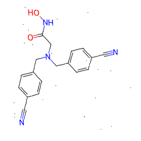 N#Cc1ccc(CN(CC(=O)NO)Cc2ccc(C#N)cc2)cc1